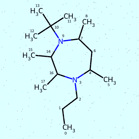 CCCN1C(C)CC(C)N(C(C)(C)C)C(C)C1C